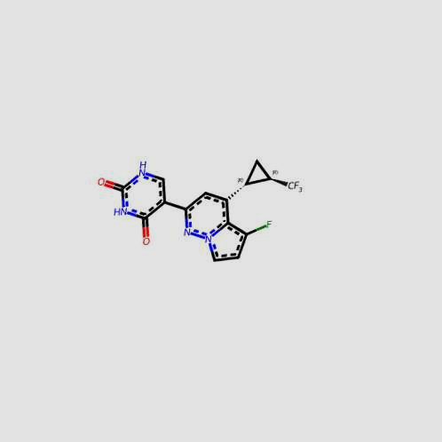 O=c1[nH]cc(-c2cc([C@@H]3C[C@H]3C(F)(F)F)c3c(F)ccn3n2)c(=O)[nH]1